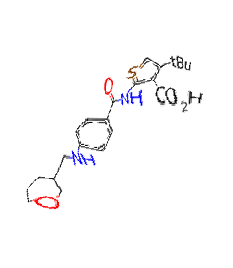 CC(C)(C)c1csc(NC(=O)c2ccc(NCC3CCCOC3)cc2)c1C(=O)O